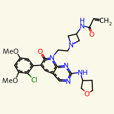 C=CC(=O)NC1CN(CCn2c(=O)c(-c3cc(OC)cc(OC)c3Cl)cc3cnc(NC4CCOC4)nc32)C1